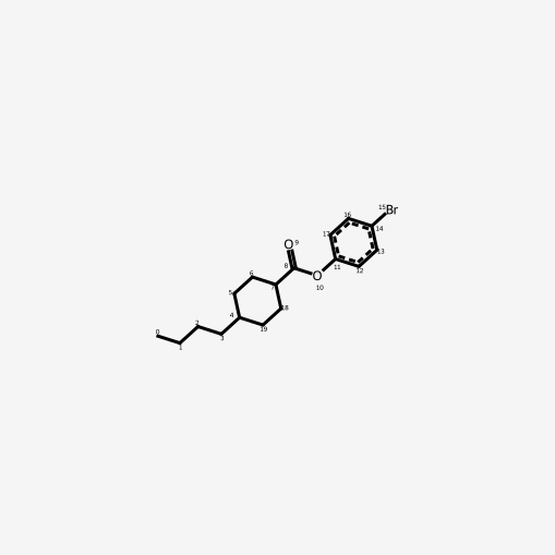 CCCCC1CCC(C(=O)Oc2ccc(Br)cc2)CC1